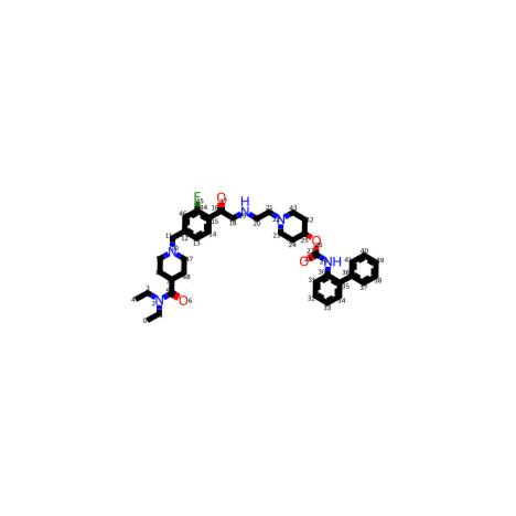 CCN(CC)C(=O)C1CCN(Cc2ccc(C(=O)CNCCN3CCC(OC(=O)Nc4ccccc4-c4ccccc4)CC3)c(F)c2)CC1